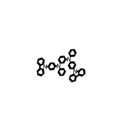 c1ccc(N(c2ccc(-n3c4ccccc4c4ccccc43)cc2)c2cccc(N(c3ccccc3)c3ccc(-n4c5ccccc5c5ccccc54)cc3)c2)cc1